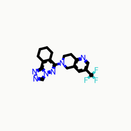 FC(F)(F)c1cnc2c(c1)CN(c1nn3cnnc3c3c1CCCC3)CC2